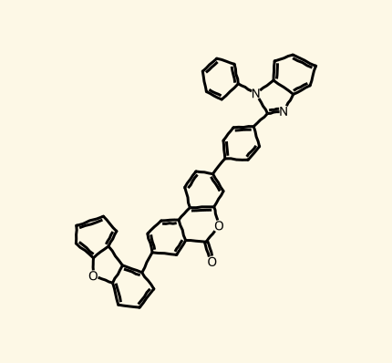 O=c1oc2cc(-c3ccc(-c4nc5ccccc5n4-c4ccccc4)cc3)ccc2c2ccc(-c3cccc4oc5ccccc5c34)cc12